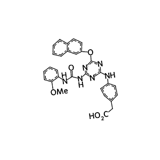 COc1ccccc1NC(=O)Nc1nc(Nc2ccc(CC(=O)O)cc2)nc(Oc2ccc3ccccc3c2)n1